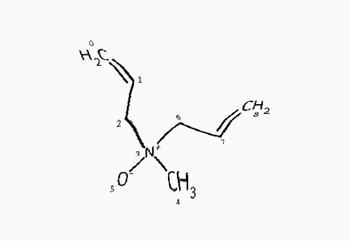 C=CC[N+](C)([O-])CC=C